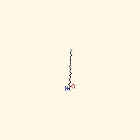 CCCCCCCCCCCCCCCCCC(=O)C(C)N(C)C